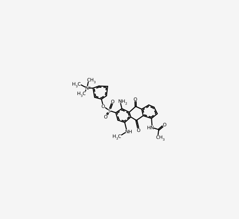 CNc1cc(S(=O)(=O)Oc2cccc([N+](C)(C)C)c2)c(N)c2c1C(=O)c1c(NC(C)=O)cccc1C2=O